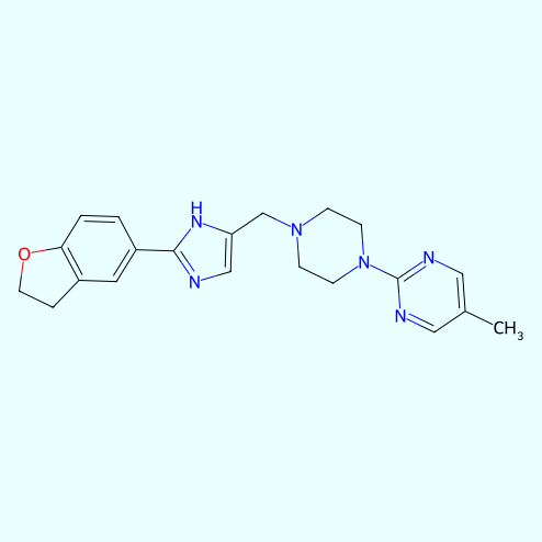 Cc1cnc(N2CCN(Cc3cnc(-c4ccc5c(c4)CCO5)[nH]3)CC2)nc1